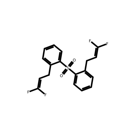 O=S(=O)(c1ccccc1CC=C(F)F)c1ccccc1CC=C(F)F